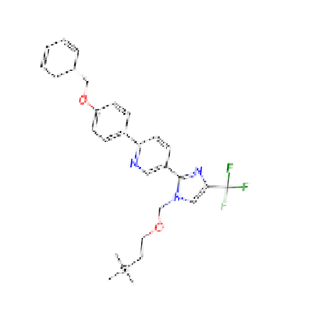 C[Si](C)(C)CCOCn1cc(C(F)(F)F)nc1-c1ccc(-c2ccc(OC[C@H]3C=CC=CC3)cc2)nc1